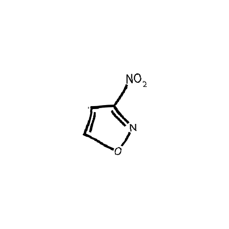 O=[N+]([O-])c1[c]con1